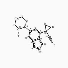 C[C@@H]1COCCN1c1cc(C2(C#N)CC2)c2cncn2n1